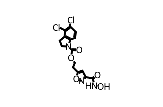 O=C(NO)c1cc(CCOC(=O)N2CCc3c2ccc(Cl)c3Cl)on1